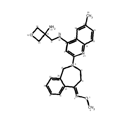 CON=C1CCN(c2cc(NCC3(N)COC3)c3cc(C)ccc3n2)Cc2ccccc21